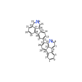 c1ccc2c(c1)-c1ccnc3c(-c4ccc5c(c4)-c4cccc6cncc-5c46)ccc-2c13